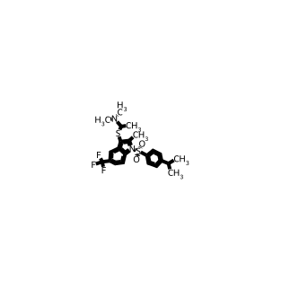 Cc1c(SC(C)N(C)C)c2cc(C(F)(F)F)ccc2n1S(=O)(=O)c1ccc(C(C)C)cc1